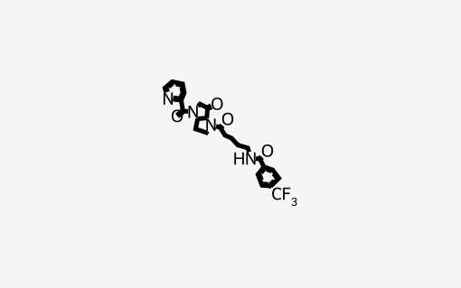 O=C(NCCCCC(=O)N1CCC2C1C(=O)CN2C(=O)c1ccccn1)c1ccc(C(F)(F)F)cc1